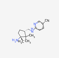 CC1(C)[C@@H](CNc2ccc(C#N)cn2)CC[C@@]1(C)N